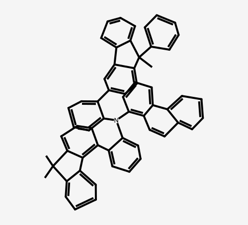 CC1(C)c2ccccc2-c2c(-c3ccccc3N(c3ccccc3-c3ccc4c(c3)-c3ccccc3C4(C)c3ccccc3)c3cccc4c3ccc3ccccc34)cccc21